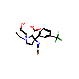 CC[N+]1(CCO)CCC(N=C=S)(c2cccc(C(F)(F)F)c2)[C@H]1C(=O)O